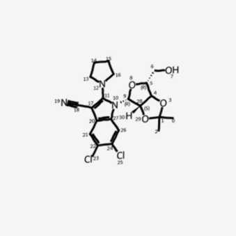 CC1(C)OC2[C@@H](CO)O[C@@H](n3c(N4CCCC4)c(C#N)c4cc(Cl)c(Cl)cc43)[C@H]2O1